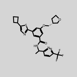 CC(NC(=O)c1cc(OC[C@@H]2CCOC2)cc(-c2ncc(C3CCC3)s2)c1)c1ccc(C(F)(F)F)nn1